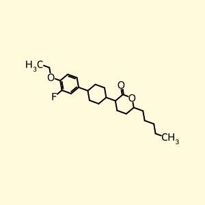 CCCCCC1CCC(C2CCC(c3ccc(OCC)c(F)c3)CC2)C(=O)O1